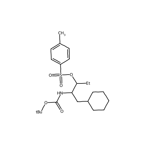 CCC(OS(=O)(=O)c1ccc(C)cc1)C(CC1CCCCC1)NC(=O)OC(C)(C)C